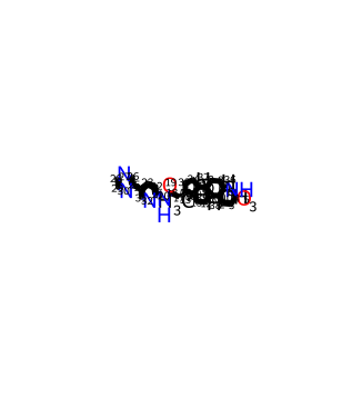 C[C@]12C=CC(=O)N[C@@H]1CC[C@@H]1[C@@H]2CC[C@]2(C)[C@@H](CC(=O)Nc3ccc(-c4cnccn4)cn3)CC[C@@H]12